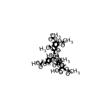 CCn1cc(C(=O)NC(C(=O)N[C@]2(OC)C(=O)N3C(C(=O)O)=C(COC(C)=O)CS[C@H]32)c2ccc(OCC(=O)O)cc2)c(=O)c2cc(OC(C)=O)c(OC(C)=O)cc21